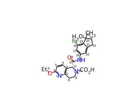 CCOc1ccc2c(n1)CCN(C(=O)O)[C@H]2C(=O)Nc1cc(F)c2c(c1)CCC2(C)C